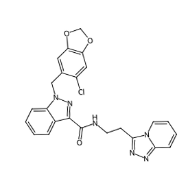 O=C(NCCc1nnc2ccccn12)c1nn(Cc2cc3c(cc2Cl)OCO3)c2ccccc12